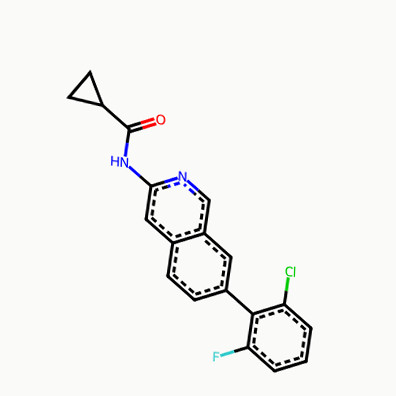 O=C(Nc1cc2ccc(-c3c(F)cccc3Cl)cc2cn1)C1CC1